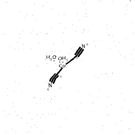 N#[C][Co][C]#N.O.O